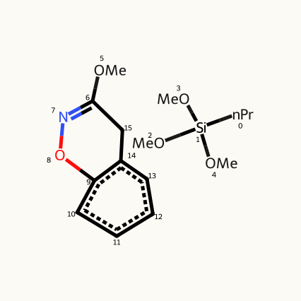 CCC[Si](OC)(OC)OC.COC1=NOc2ccccc2C1